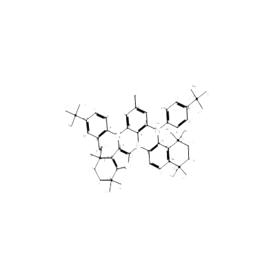 Cc1cc2c3c(c1)N(c1ccc(C(C)(C)C)cc1C)c1c(oc4c1C(C)(C)CCC4(C)C)B3c1ccc3c(c1N2c1ccc(C(C)(C)C)cc1)C(C)(C)CCC3(C)C